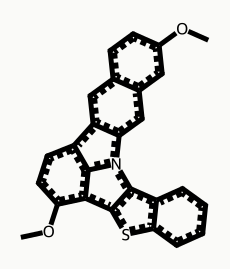 COc1ccc2cc3c4ccc(OC)c5c6sc7ccccc7c6n(c3cc2c1)c45